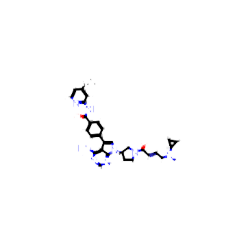 CN(C/C=C/C(=O)N1CC[C@@H](n2cc(-c3ccc(C(=O)Nc4cc(C#N)ccn4)cc3)c3c(N)ncnc32)C1)C1CC1